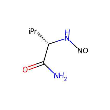 CC(C)[C@H](NN=O)C(N)=O